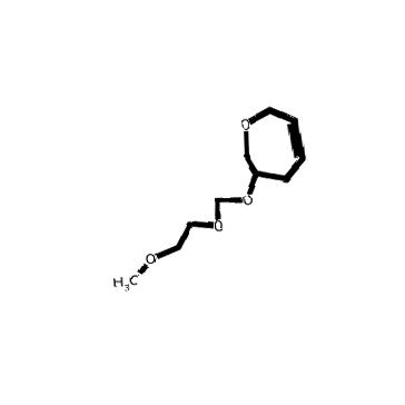 COCCOCOC1CC=CCOC1